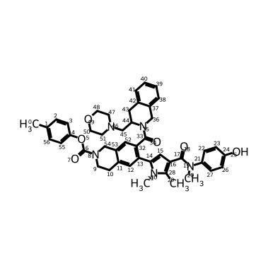 Cc1ccc(OC(=O)N2CCc3cc(-c4cc(C(=O)N(C)c5ccc(O)cc5)c(C)n4C)c(C(=O)N4Cc5ccccc5CC4CN4CCOCC4)cc3C2)cc1